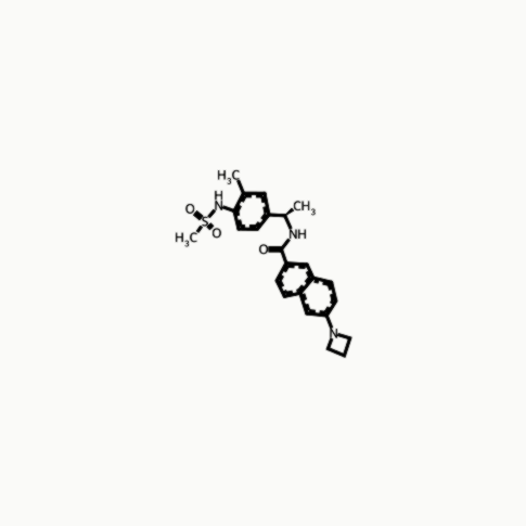 Cc1cc([C@@H](C)NC(=O)c2ccc3cc(N4CCC4)ccc3c2)ccc1NS(C)(=O)=O